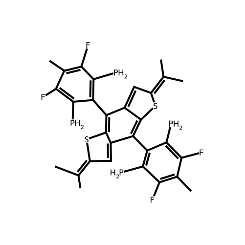 CC(C)=c1cc2c(-c3c(P)c(F)c(C)c(F)c3P)c3sc(=C(C)C)cc3c(-c3c(P)c(F)c(C)c(F)c3P)c2s1